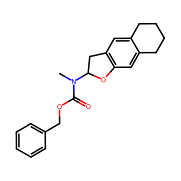 CN(C(=O)OCc1ccccc1)C1Cc2cc3c(cc2O1)CCCC3